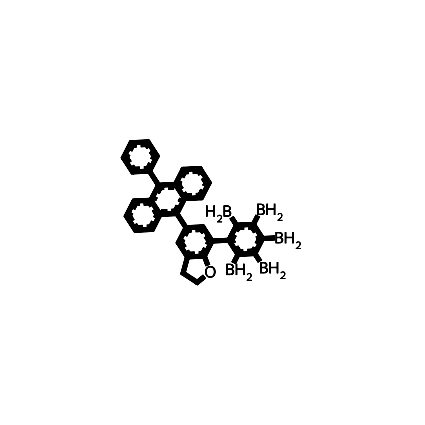 Bc1c(B)c(B)c(-c2cc(-c3c4ccccc4c(-c4ccccc4)c4ccccc34)cc3c2OCC3)c(B)c1B